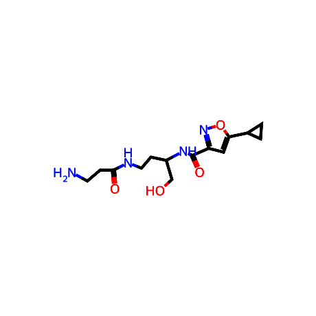 NCCC(=O)NCCC(CO)NC(=O)c1cc(C2CC2)on1